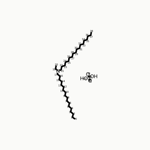 CCCCCCCCCCCCCCCCCCN(CC)CCCCCCCCCCCCCCCCCC.O=S(=O)(O)O